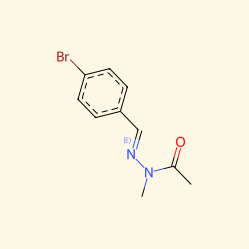 CC(=O)N(C)/N=C/c1ccc(Br)cc1